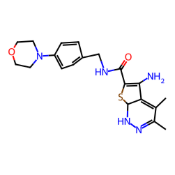 CC1=NNC2SC(C(=O)NCc3ccc(N4CCOCC4)cc3)=C(N)C2=C1C